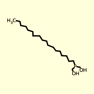 CCCCCCCCCCCCCCCCCCP(CO)CO